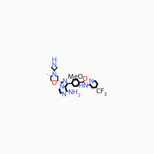 COc1cc(C(=O)Nc2cc(C(F)(F)F)ccn2)ccc1-c1nc([C@H]2CN(C3CNC3)[C@@H](C)CO2)n2ccnc(N)c12